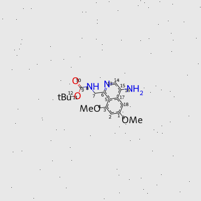 COc1cc(OC)c2c(CNC(=O)OC(C)(C)C)ncc(N)c2c1